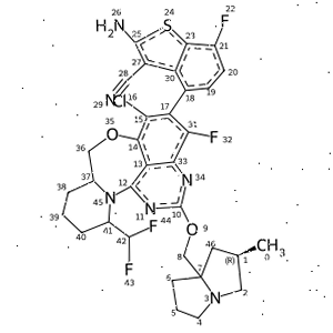 C[C@H]1CN2CCCC2(COc2nc3c4c(c(Cl)c(-c5ccc(F)c6sc(N)c(C#N)c56)c(F)c4n2)OCC2CCCC(C(F)F)N32)C1